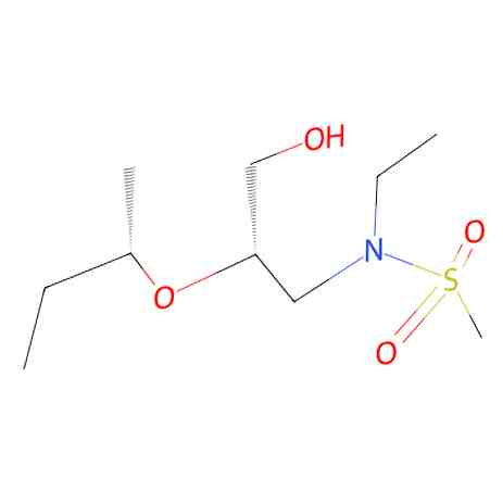 CC[C@H](C)O[C@H](CO)CN(CC)S(C)(=O)=O